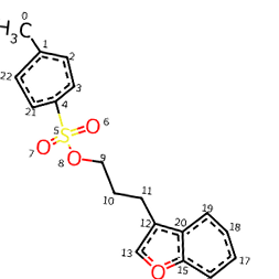 Cc1ccc(S(=O)(=O)OCCCc2coc3ccccc23)cc1